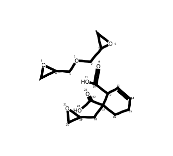 C(OCC1CO1)C1CO1.O=C(O)C1C=CCCC1(CC1CO1)C(=O)O